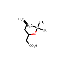 C=CCC(CC(=O)O)O[Si](C)(C)C(C)(C)C